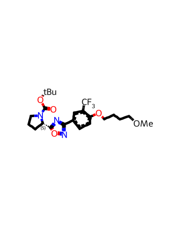 COCCCCOc1ccc(-c2noc([C@@H]3CCCN3C(=O)OC(C)(C)C)n2)cc1C(F)(F)F